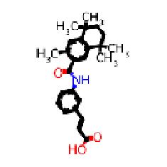 Cc1cc2c(cc1C(=O)Nc1cccc(/C=C/C(=O)O)c1)C(C)(C)CCC2(C)C